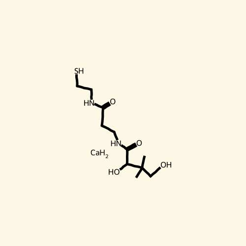 CC(C)(CO)C(O)C(=O)NCCC(=O)NCCS.[CaH2]